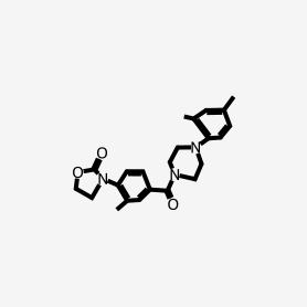 Cc1ccc(N2CCN(C(=O)c3ccc(N4CCOC4=O)c(C)c3)CC2)c(C)c1